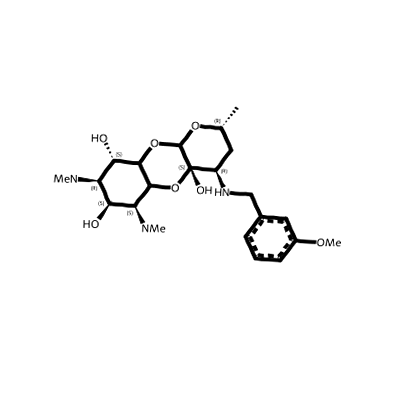 CN[C@@H]1[C@H](O)[C@H](NC)C2O[C@]3(O)C(OC2[C@H]1O)O[C@H](C)C[C@H]3NCc1cccc(OC)c1